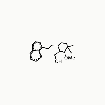 CO[C@@H]1[C@@H](CO)[C@H](CCc2cccc3ccccc23)CCC1(C)C